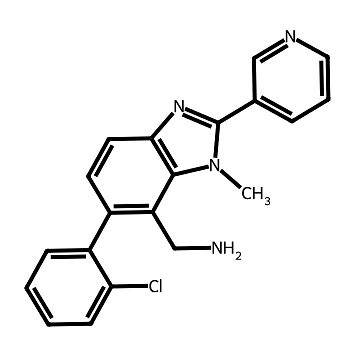 Cn1c(-c2cccnc2)nc2ccc(-c3ccccc3Cl)c(CN)c21